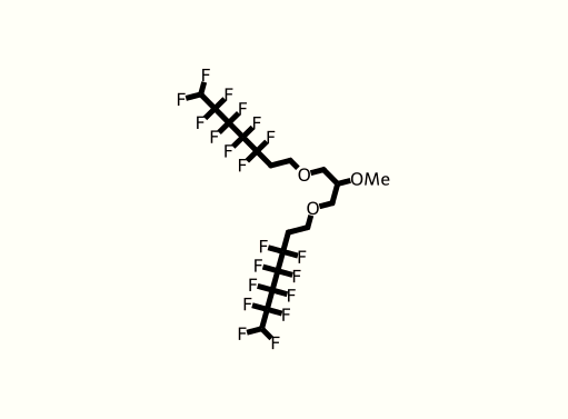 COC(COCCC(F)(F)C(F)(F)C(F)(F)C(F)(F)C(F)F)COCCC(F)(F)C(F)(F)C(F)(F)C(F)(F)C(F)F